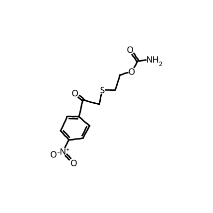 NC(=O)OCCSCC(=O)c1ccc([N+](=O)[O-])cc1